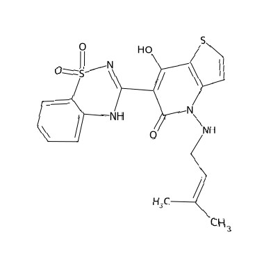 CC(C)=CCNn1c(=O)c(C2=NS(=O)(=O)c3ccccc3N2)c(O)c2sccc21